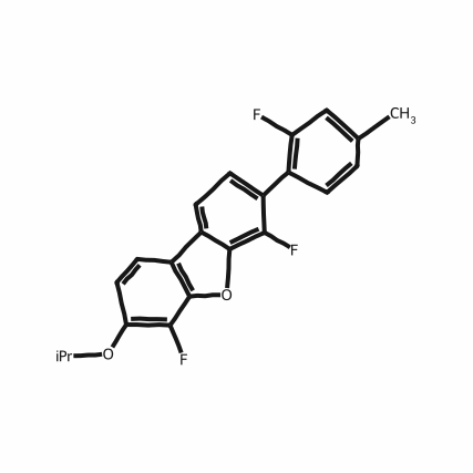 Cc1ccc(-c2ccc3c(oc4c(F)c(OC(C)C)ccc43)c2F)c(F)c1